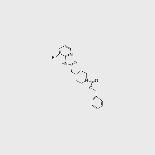 O=C(CC1=CCN(C(=O)OCc2ccccc2)CC1)Nc1ncccc1Br